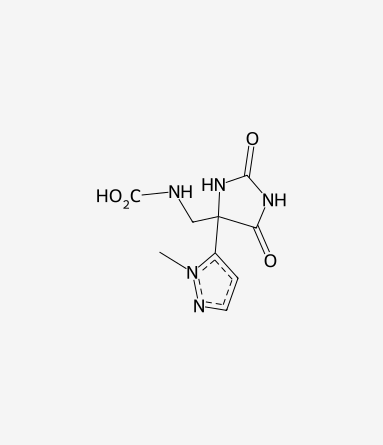 Cn1nccc1C1(CNC(=O)O)NC(=O)NC1=O